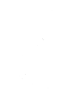 CC(C)(C)C1(C(C)(C)C)COCCOCCOCCOCCOCCOc2c(NC3COCCOCCOc4ccccc4OCCO3)cccc2Oc2ccccc2O1